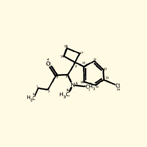 CCCC(=O)C(N(C)C)C1(c2ccc(Cl)cc2)CCC1